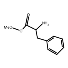 COOC(=O)C(N)Cc1ccccc1